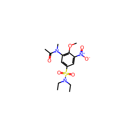 CCN(CC)S(=O)(=O)c1cc(N(C)C(C)=O)c(OC)c([N+](=O)[O-])c1